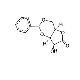 O=C1O[C@@H]2COC(c3ccccc3)O[C@@H]2[C@@H]1O